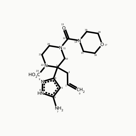 C=CCC1(c2cc(N)[nH]n2)CN(C(=O)N2CCOCC2)CCN1C(=O)O